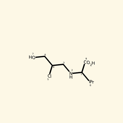 CC(C)C(NCC(Cl)CO)C(=O)O